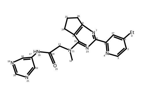 CCc1ccnc(-c2nc3c(c(N(C)CC(=O)Nc4cncnc4)n2)CCC3)c1